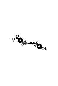 Cc1ccc(S(=O)(=O)ON=CC=NOS(=O)(=O)c2ccc(C(C)C)cc2)cc1